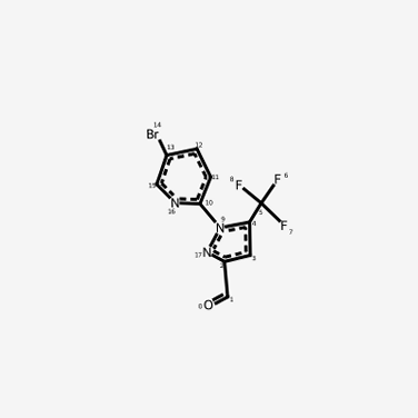 O=Cc1cc(C(F)(F)F)n(-c2ccc(Br)cn2)n1